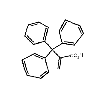 C=C(C(=O)O)C(c1ccccc1)(c1ccccc1)c1ccccc1